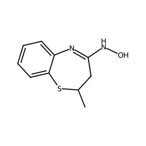 CC1CC(NO)=Nc2ccccc2S1